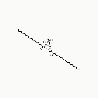 CCCCCCCCCCCCCCCC(=O)OCC(COC(=O)CCCCCCCCCCCCCCC)OC(=O)CP(=O)(O)O